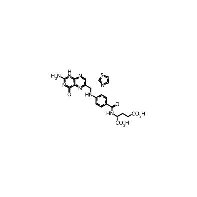 Nc1nc(=O)c2nc(CNc3ccc(C(=O)N[C@@H](CCC(=O)O)C(=O)O)cc3)cnc2[nH]1.c1cscn1